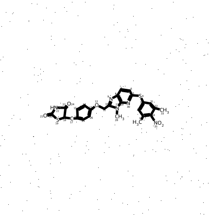 Cc1cc(Sc2ccc3nc(COc4ccc(CC5SC(=O)NC5=O)cc4)n(C)c3n2)cc(C)c1[N+](=O)[O-]